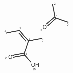 CC(C)=O.CC=C(C)C(=O)O